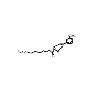 CCOC(=O)CCCCCCC(=O)N1CCN(c2cccc(OC)c2)CC1